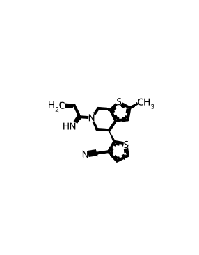 C=CC(=N)N1Cc2sc(C)cc2[C@@H](c2sccc2C#N)C1